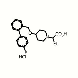 CCC(C(=O)O)N1CCC(OCc2ccccc2-c2ccc(F)cc2)CC1.Cl